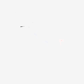 CCOC(=O)C1C2CN(c3nc(-c4cc(C)ccc4O)cs3)C[C@@H]21